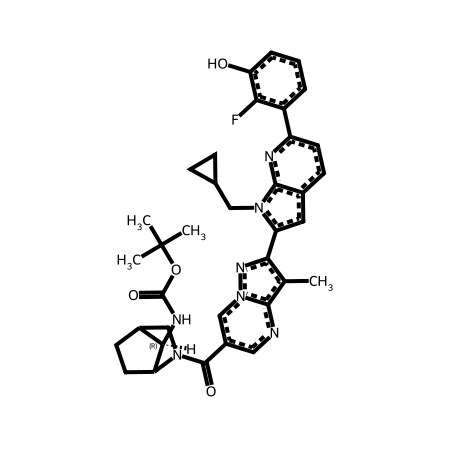 Cc1c(-c2cc3ccc(-c4cccc(O)c4F)nc3n2CC2CC2)nn2cc(C(=O)N3CC4CCC3[C@@H]4NC(=O)OC(C)(C)C)cnc12